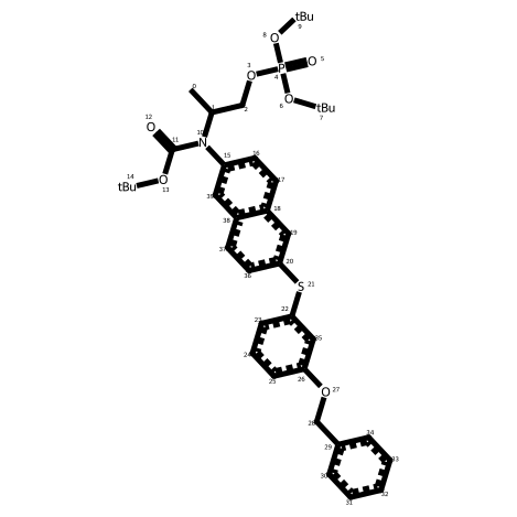 CC(COP(=O)(OC(C)(C)C)OC(C)(C)C)N(C(=O)OC(C)(C)C)c1ccc2cc(Sc3cccc(OCc4ccccc4)c3)ccc2c1